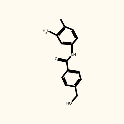 Cc1ccc(NC(=O)c2ccc(CO)cc2)cc1N